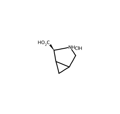 Cl.O=C(O)[C@H]1NCC2CC21